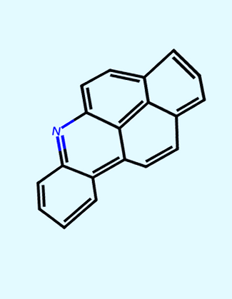 c1cc2ccc3nc4ccccc4c4ccc(c1)c2c34